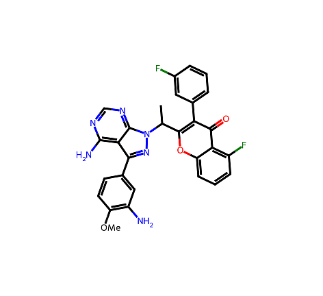 COc1ccc(-c2nn(C(C)c3oc4cccc(F)c4c(=O)c3-c3cccc(F)c3)c3ncnc(N)c23)cc1N